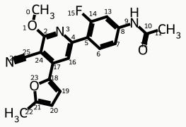 COc1nc(-c2ccc(NC(C)=O)cc2F)cc(-c2ccc(C)o2)c1C#N